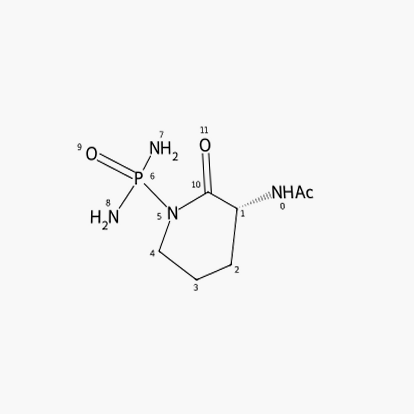 CC(=O)N[C@@H]1CCCN(P(N)(N)=O)C1=O